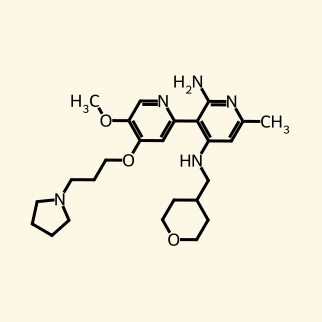 COc1cnc(-c2c(NCC3CCOCC3)cc(C)nc2N)cc1OCCCN1CCCC1